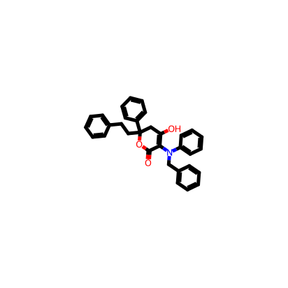 O=C1OC(CCc2ccccc2)(c2ccccc2)CC(O)=C1N(Cc1ccccc1)c1ccccc1